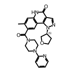 Cc1cc2[nH]c(=O)c3cnn([C@H]4CCOC4)c3c2cc1C(=O)N1CCN(c2ccccn2)CC1